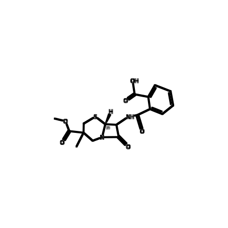 COC(=O)C1(C)CS[C@@H]2C(NC(=O)c3ccccc3C(=O)O)C(=O)N2C1